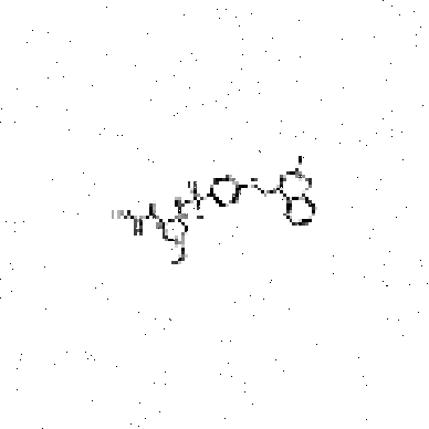 Cc1cc(COc2ccc(S(=O)(=O)N[C@H]3CN(C=O)C[C@H]3C(=O)NO)cc2)c2ccccc2n1